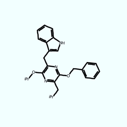 CC(C)Cc1nc(OC(C)C)c(Cc2c[nH]c3ccccc23)nc1OCc1ccccc1